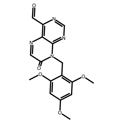 COc1cc(OC)c(Cn2c(=O)cnc3c(C=O)ncnc32)c(OC)c1